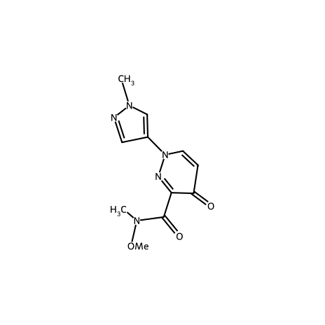 CON(C)C(=O)c1nn(-c2cnn(C)c2)ccc1=O